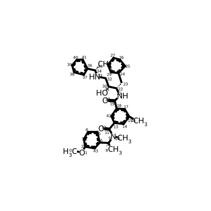 COc1cccc(C(C)N(C)C(=O)c2cc(C)cc(C(=O)N[C@@H](Cc3ccccc3)[C@H](O)CN[C@@H](C)c3ccccc3)c2)c1